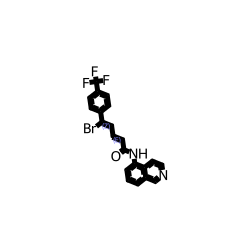 O=C(/C=C/C=C(\Br)c1ccc(C(F)(F)F)cc1)Nc1cccc2cnccc12